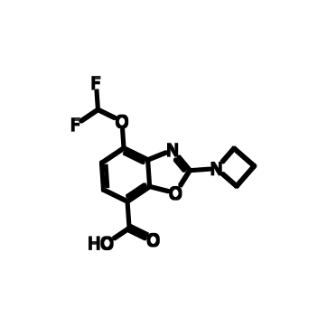 O=C(O)c1ccc(OC(F)F)c2nc(N3CCC3)oc12